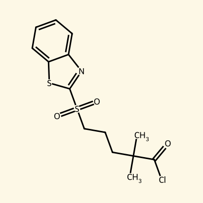 CC(C)(CCCS(=O)(=O)c1nc2ccccc2s1)C(=O)Cl